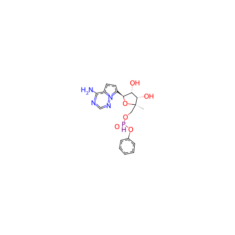 C[C@]1(CO[PH](=O)Oc2ccccc2)O[C@@H](c2ccc3c(N)ncnn23)[C@H](O)[C@@H]1O